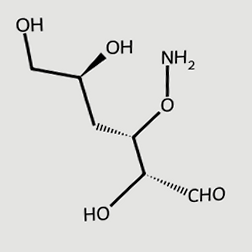 NO[C@@H](C[C@H](O)CO)[C@@H](O)C=O